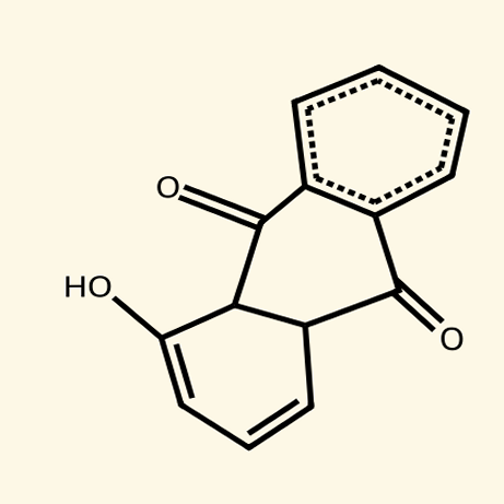 O=C1c2ccccc2C(=O)C2C(O)=CC=CC12